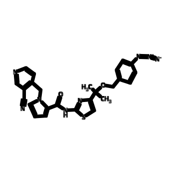 CC(C)(OCc1ccc(N=[N+]=[N-])cc1)c1csc(NC(=O)c2cccn2Cc2ccncc2C#N)n1